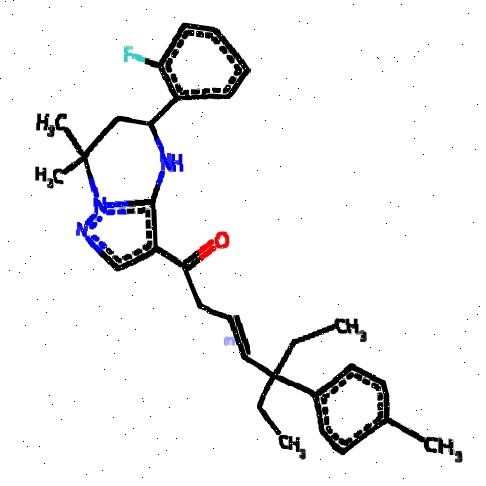 CCC(/C=C/CC(=O)c1cnn2c1NC(c1ccccc1F)CC2(C)C)(CC)c1ccc(C)cc1